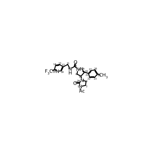 CC(=O)N1CCN(C2CN(C(=O)NCc3ccc(C(F)(F)F)nc3)N=C2c2ccc(C)cc2)C1=O